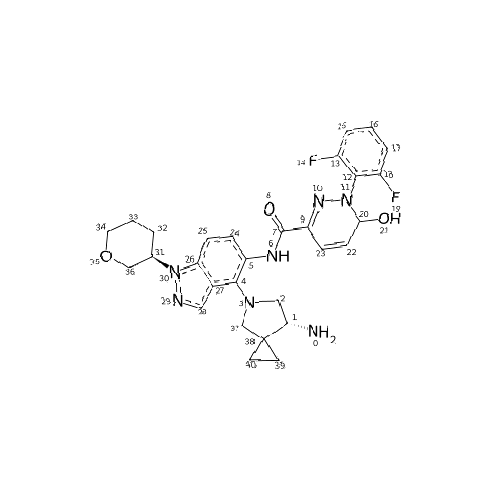 N[C@H]1CN(c2c(NC(=O)C3=NN(c4c(F)cccc4F)C(O)C=C3)ccc3c2cnn3[C@@H]2CCCOC2)CC12CC2